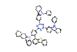 c1ccc(-n2c3ccccc3c3ccc(-c4nc(-c5ccc(-n6c7ccccc7c7cc8ccccc8cc76)c(-c6cccc7c6sc6ccccc67)c5)nc(-c5ccc6c7ccccc7n(-c7ccccc7)c6c5)n4)cc32)cc1